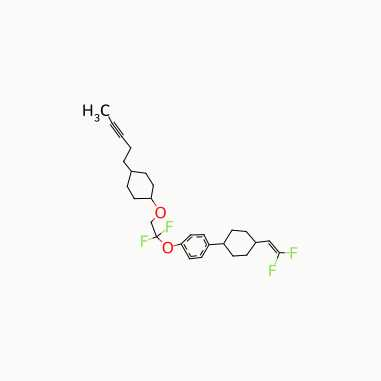 CC#CCCC1CCC(OCC(F)(F)Oc2ccc(C3CCC(C=C(F)F)CC3)cc2)CC1